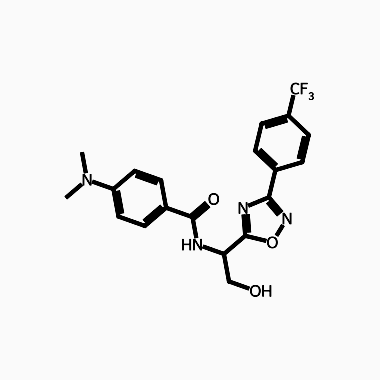 CN(C)c1ccc(C(=O)NC(CO)c2nc(-c3ccc(C(F)(F)F)cc3)no2)cc1